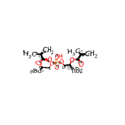 C=C(C)C(=O)OC(CCCC)COP(=O)(O)OCC(CCCC)OC(=O)C(=C)C